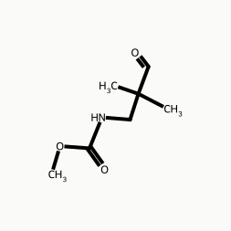 COC(=O)NCC(C)(C)C=O